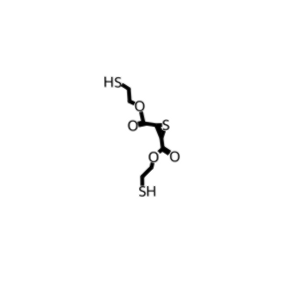 O=C(OCCS)C1=C(C(=O)OCCS)S1